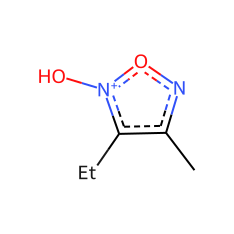 CCc1c(C)no[n+]1O